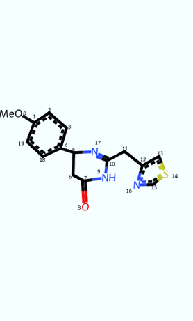 COc1ccc(C2CC(=O)NC(Cc3cscn3)=N2)cc1